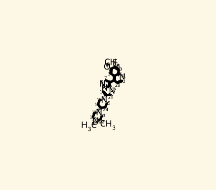 COc1cc2c(-c3cnn4cc(N5CCC(N6CCN(C)C(C)C6)CC5)cnc34)ccnc2cc1F